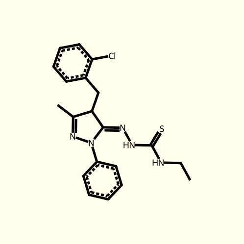 CCNC(=S)NN=C1C(Cc2ccccc2Cl)C(C)=NN1c1ccccc1